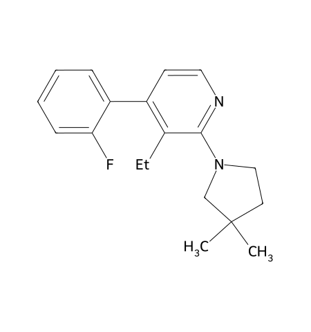 CCc1c(-c2ccccc2F)ccnc1N1CCC(C)(C)C1